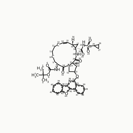 CC(C)(C)OC(=O)N[C@H]1CCCCC/C=C\[C@@H]2C[C@@]2(C(=O)NS(=O)(=O)C2CC2)NC(=O)[C@@H]2CC(Oc3nc4c5ccccc5oc4c4ccccc34)CN2C1=O